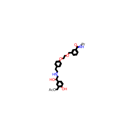 CC(=O)OCc1cc([C@@H](O)CNCCc2ccc(OCCOCc3cccc(C(=O)NC(C)C)c3)cc2)ccc1O